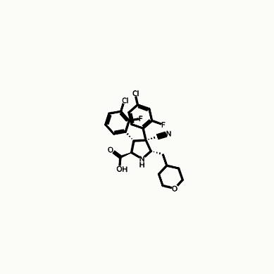 N#C[C@]1(c2ccc(Cl)cc2F)[C@H](CC2CCOCC2)N[C@@H](C(=O)O)[C@@H]1c1cccc(Cl)c1F